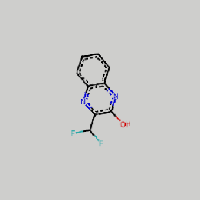 Oc1nc2ccccc2nc1C(F)F